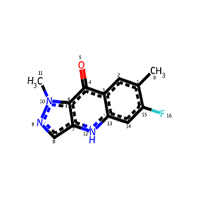 Cc1cc2c(=O)c3c(cnn3C)[nH]c2cc1F